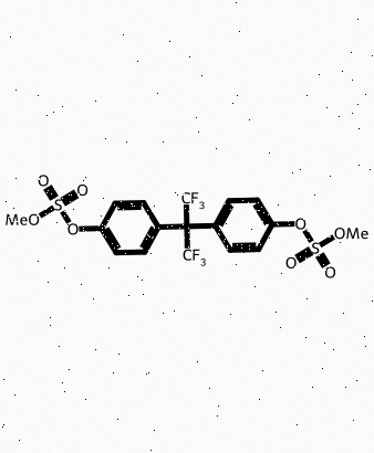 COS(=O)(=O)Oc1ccc(C(c2ccc(OS(=O)(=O)OC)cc2)(C(F)(F)F)C(F)(F)F)cc1